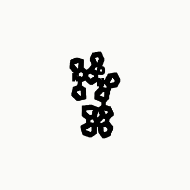 c1ccc(-c2nc3ccccc3c3c2cc(-n2c4ccccc4c4cc(-c5ccc6c(c5)C5(c7ccccc7-c7ccccc75)c5ccccc5-6)ccc42)c2oc4ccccc4c23)cc1